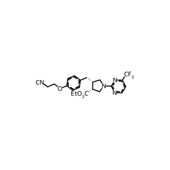 [C-]#[N+]CCOc1ccc(C[C@@H]2CN(c3nccc(C(F)(F)F)n3)C[C@@H]2C(=O)OCC)cc1